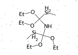 CCOC(NC(OCC)(OCC)[SiH2]C)(OCC)[SiH2]C